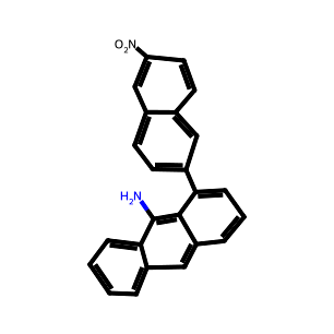 Nc1c2ccccc2cc2cccc(-c3ccc4cc([N+](=O)[O-])ccc4c3)c12